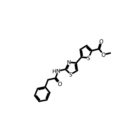 COC(=O)c1ccc(-c2csc(NC(=O)Cc3ccccc3)n2)s1